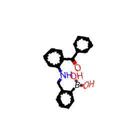 O=C(c1ccccc1)c1ccccc1NCc1c#cccc1B(O)O